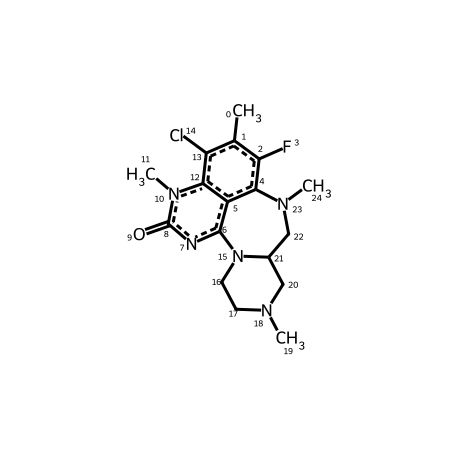 Cc1c(F)c2c3c(nc(=O)n(C)c3c1Cl)N1CCN(C)CC1CN2C